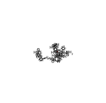 NC(=O)CC[C@H](NC(=O)[C@@H]1CC[C@@H]2CCN(C(=O)OCCCCC#Cc3cccc4c3CN(C3CCC(=O)NC3=O)C4=O)C[C@H](NC(=O)c3cc4cc(C(F)(F)P(=O)(O)O)ccc4[nH]3)C(=O)N21)C(=O)NC(c1ccccc1)c1ccccc1